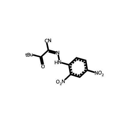 CC(C)(C)C(=O)C(C#N)=NNc1ccc([N+](=O)[O-])cc1[N+](=O)[O-]